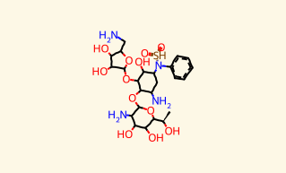 C[C@@H](O)C1OC(OC2C(N)CC(N(c3ccccc3)[SH](=O)=O)C(O)C2OC2OC(CN)C(O)C2O)C(N)C(O)C1O